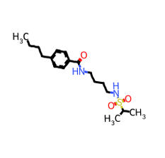 CCCCc1ccc(C(=O)NCCCCNS(=O)(=O)C(C)C)cc1